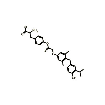 Cc1cc(OCC(=O)Oc2ccc(CC(N)C(=O)O)cc2)cc(C)c1Cc1ccc(O)c(C(C)C)c1